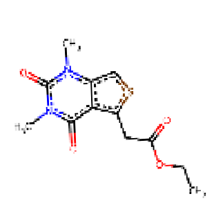 CCOC(=O)Cc1scc2c1c(=O)n(C)c(=O)n2C